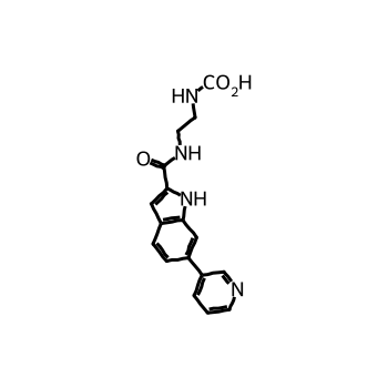 O=C(O)NCCNC(=O)c1cc2ccc(-c3cccnc3)cc2[nH]1